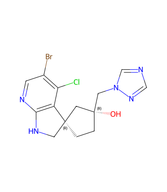 O[C@]1(Cn2cncn2)CC[C@@]2(CNc3ncc(Br)c(Cl)c32)C1